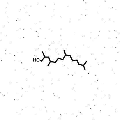 CC(C)CCCCC(C)CCCC(C)CC(C)CO